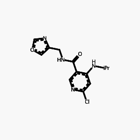 CC(C)Nc1cc(Cl)ncc1C(=O)NCc1cocn1